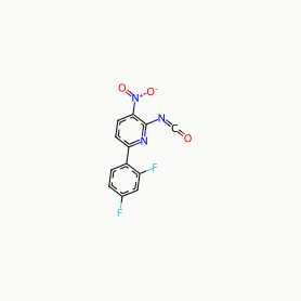 O=C=Nc1nc(-c2ccc(F)cc2F)ccc1[N+](=O)[O-]